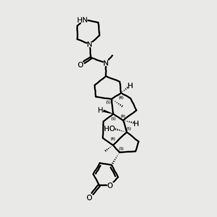 CN(C(=O)N1CCNCC1)C1CC[C@@]2(C)[C@H](CC[C@@H]3[C@@H]2CC[C@]2(C)[C@@H](c4ccc(=O)oc4)CC[C@]32O)C1